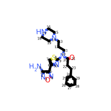 Nc1nonc1-c1csc(N(CCCN2CCNCC2)C(=O)CCc2ccccc2)n1